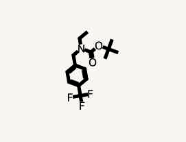 CCN(Cc1ccc(C(F)(F)F)cc1)C(=O)OC(C)(C)C